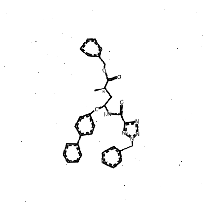 C[C@H](CC(Cc1ccc(-c2ccccc2)cc1)NC(=O)c1nnn(Cc2ccccc2)n1)C(=O)OCc1ccccc1